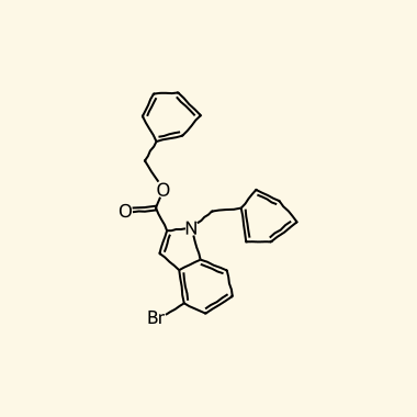 O=C(OCc1ccccc1)c1cc2c(Br)cccc2n1Cc1ccccc1